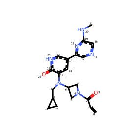 C=CC(=O)N1CC(N(CC2CC2)c2cc(-c3cncc(NC)n3)c[nH]c2=O)C1